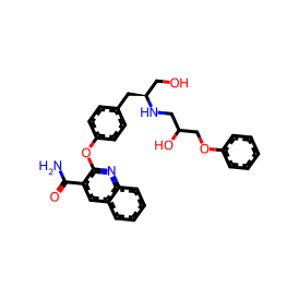 NC(=O)c1cc2ccccc2nc1Oc1ccc(C[C@@H](CO)NCC(O)COc2ccccc2)cc1